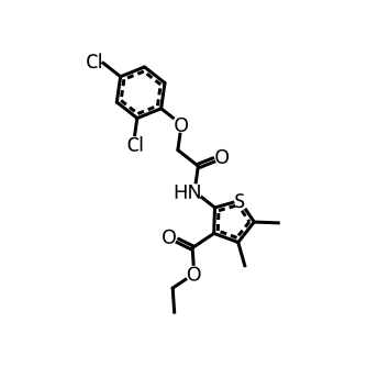 CCOC(=O)c1c(NC(=O)COc2ccc(Cl)cc2Cl)sc(C)c1C